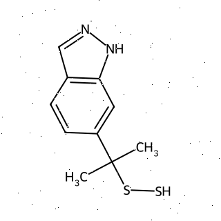 CC(C)(SS)c1ccc2cn[nH]c2c1